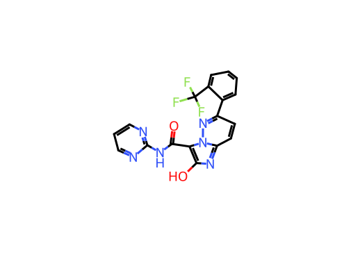 O=C(Nc1ncccn1)c1c(O)nc2ccc(-c3ccccc3C(F)(F)F)nn12